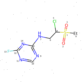 CCS(=O)(=O)C(Cl)CNc1n[c]nc(F)n1